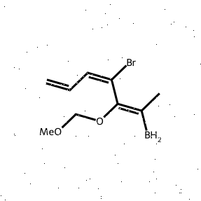 B/C(C)=C(OCOC)/C(Br)=C\C=C